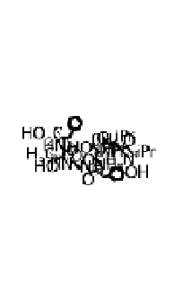 CC(C)[C@H](N)C(=O)N[C@H](C(=O)N[C@H](C(=O)N[C@@H](Cc1ccc(O)cc1)C(=O)NCC(=O)N[C@H](C(=O)N[C@@H](Cc1ccccc1)C(=O)O)[C@@H](C)O)[C@@H](C)O)C(C)C